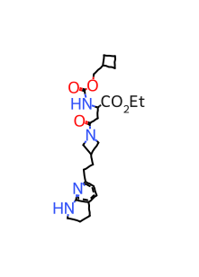 CCOC(=O)C(CC(=O)N1CC(CCc2ccc3c(n2)NCCC3)C1)NC(=O)OCC1CCC1